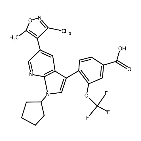 Cc1noc(C)c1-c1cnc2c(c1)c(-c1ccc(C(=O)O)cc1OC(F)(F)F)cn2C1CCCC1